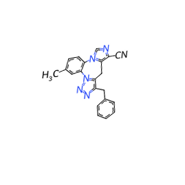 Cc1ccc2c(c1)-n1nnc(Cc3ccccc3)c1Cc1c(C#N)ncn1-2